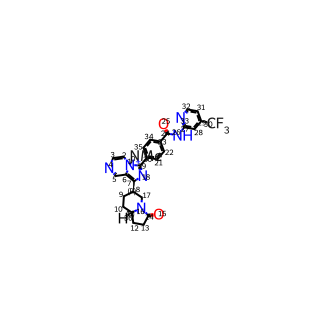 CN[N+]12C=CN=CC1=C([C@@H]1CC[C@H]3CCC(=O)N3C1)N=C2c1ccc(C(=O)Nc2cc(C(F)(F)F)ccn2)cc1